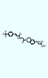 O=C(O)CNc1ccc2c(c1)CCN(C(=O)CNC(=O)/C=C/c1ccc(C(F)(F)F)cc1)C2